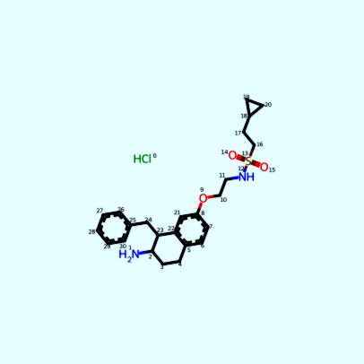 Cl.NC1CCc2ccc(OCCNS(=O)(=O)CCC3CC3)cc2C1Cc1ccccc1